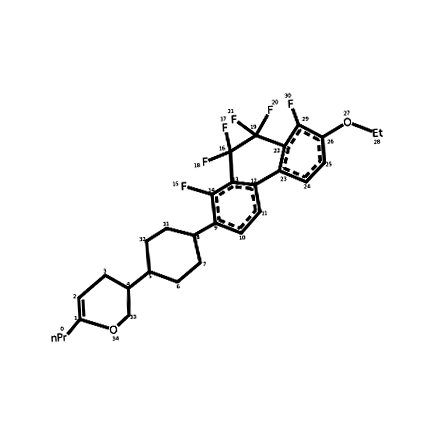 CCCC1=CCC(C2CCC(c3ccc4c(c3F)C(F)(F)C(F)(F)c3c-4ccc(OCC)c3F)CC2)CO1